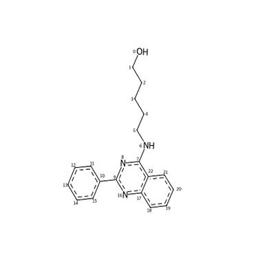 OCCCCCNc1nc(-c2ccccc2)nc2ccccc12